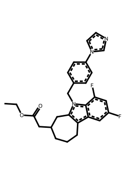 CCOC(=O)CC1CCCc2c(n(Cc3ccc(-n4ccnc4)cc3)c3c(F)cc(F)cc23)C1